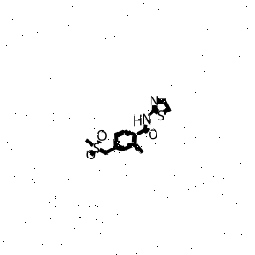 Cc1cc(CS(C)(=O)=O)ccc1C(=O)Nc1nccs1